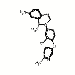 Cc1ccc(Oc2ccc(N3C=Nc4ccc(N)cc4C3N)cc2Cl)cn1